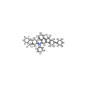 CC1(C)c2ccccc2-c2ccc(N(c3ccccc3)c3cc4c(c5ccccc35)C(C)(C)c3cc(-c5ccccc5)ccc3-4)cc21